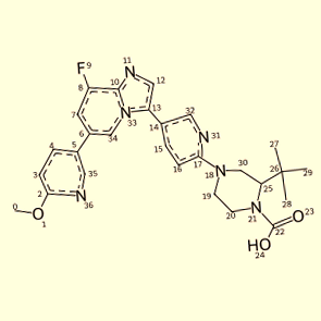 COc1ccc(-c2cc(F)c3ncc(-c4ccc(N5CCN(C(=O)O)C(C(C)(C)C)C5)nc4)n3c2)cn1